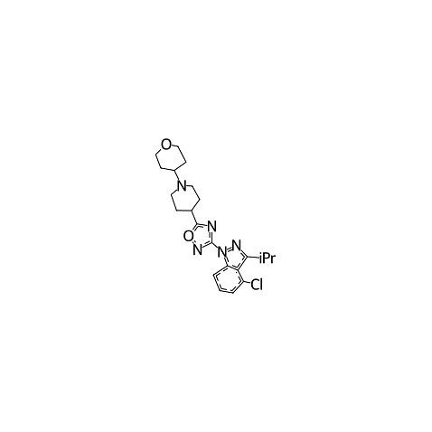 CC(C)c1nn(-c2noc(C3CCN(C4CCOCC4)CC3)n2)c2cccc(Cl)c12